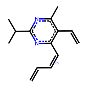 C=C/C=C\c1nc(C(C)C)nc(C)c1C=C